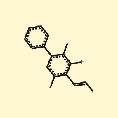 CC=Cc1c(C)cc(-c2ccccc2)c(C)c1F